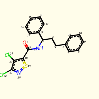 O=C(NC(CCc1ccccc1)c1ccccc1)c1snc(Cl)c1Cl